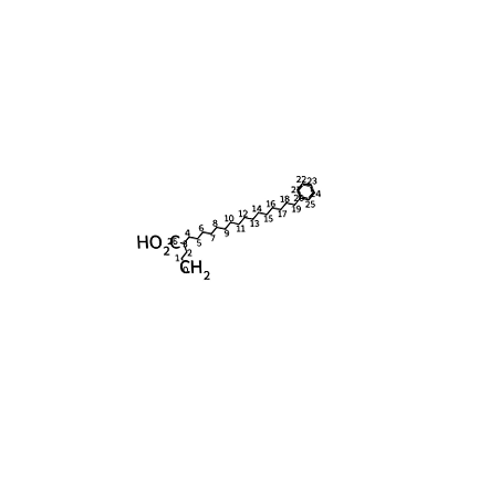 C=CCC(CCCCCCCCCCCCCCCCc1ccccc1)C(=O)O